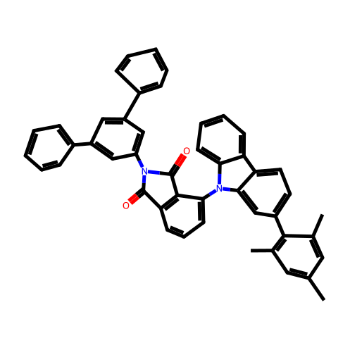 Cc1cc(C)c(-c2ccc3c4ccccc4n(-c4cccc5c4C(=O)N(c4cc(-c6ccccc6)cc(-c6ccccc6)c4)C5=O)c3c2)c(C)c1